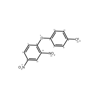 O=[N+]([O-])c1ccc(Oc2ccc(C(F)(F)F)cc2)c([N+](=O)[O-])c1